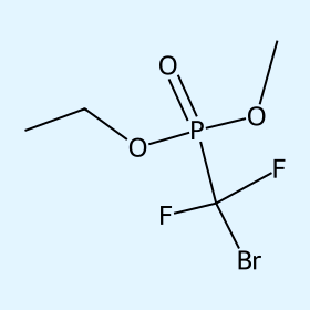 CCOP(=O)(OC)C(F)(F)Br